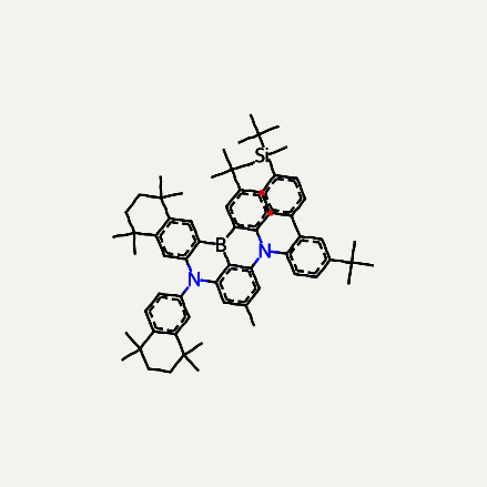 Cc1cc2c3c(c1)N(c1ccc(C(C)(C)C)cc1-c1ccc([Si](C)(C)C(C)(C)C)cc1)c1ccc(C(C)(C)C)cc1B3c1cc3c(cc1N2c1ccc2c(c1)C(C)(C)CCC2(C)C)C(C)(C)CCC3(C)C